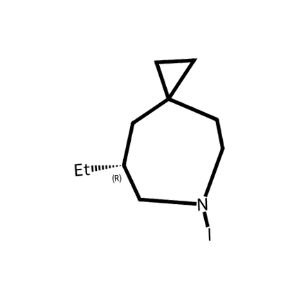 CC[C@H]1CN(I)CCC2(CC2)C1